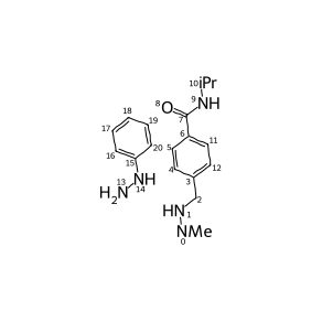 CNNCc1ccc(C(=O)NC(C)C)cc1.NNc1ccccc1